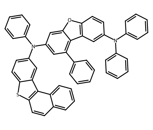 c1ccc(-c2cc(N(c3ccccc3)c3ccc4sc5ccc6ccccc6c5c4c3)cc3oc4ccc(N(c5ccccc5)c5ccccc5)cc4c23)cc1